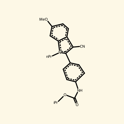 CCCn1c(-c2ccc(NC(=O)OC(C)C)cc2)c(C#N)c2ccc(OC)cc21